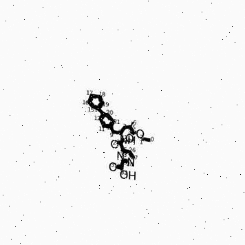 CCOC(=O)[C@H](C)CC(Cc1ccc(-c2ccccc2)cc1)NC(=O)c1ccnc(C(=O)O)n1